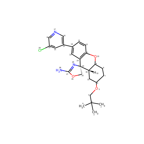 CC(C)(C)COC1CCC2Oc3ccc(-c4cncc(Cl)c4)cc3[C@@]3(COC(N)=N3)[C@H]2C1